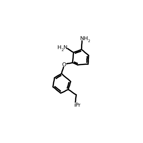 CC(C)Cc1cccc(Oc2cccc(N)c2N)c1